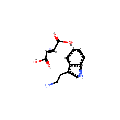 NCCc1c[nH]c2ccccc12.O=C(O)/C=C/C(=O)O